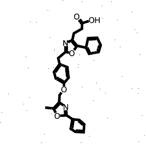 Cc1oc(-c2ccccc2)nc1COc1ccc(Cc2nc(CCC(=O)O)c(-c3ccccc3)o2)cc1